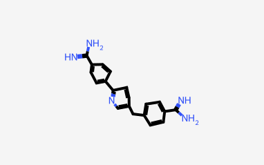 N=C(N)c1ccc(Cc2ccc(-c3ccc(C(=N)N)cc3)nc2)cc1